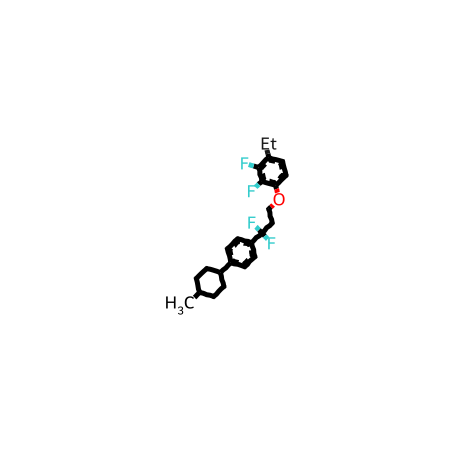 CCc1ccc(OCCC(F)(F)c2ccc(C3CCC(C)CC3)cc2)c(F)c1F